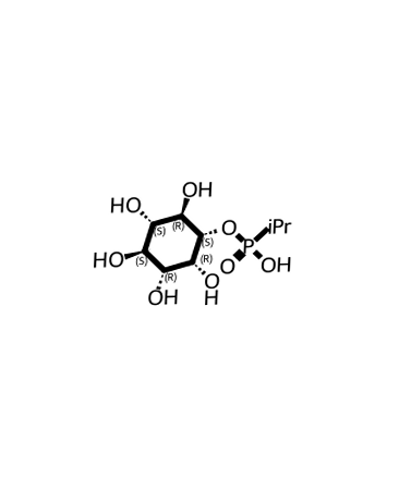 CC(C)P(=O)(O)O[C@@H]1[C@H](O)[C@H](O)[C@@H](O)[C@H](O)[C@H]1O